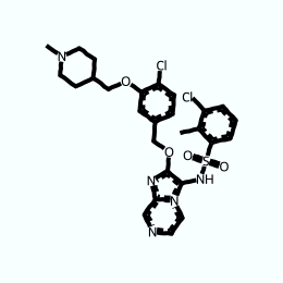 Cc1c(Cl)cccc1S(=O)(=O)Nc1c(OCc2ccc(Cl)c(OCC3CCN(C)CC3)c2)nc2cnccn12